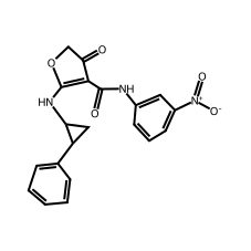 O=C1COC(NC2CC2c2ccccc2)=C1C(=O)Nc1cccc([N+](=O)[O-])c1